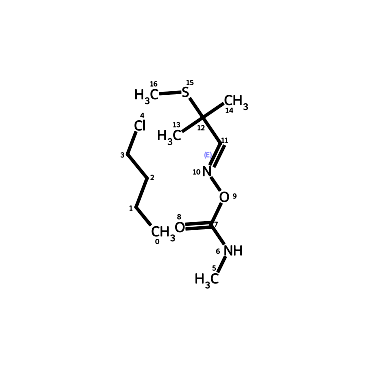 CCCCCl.CNC(=O)O/N=C/C(C)(C)SC